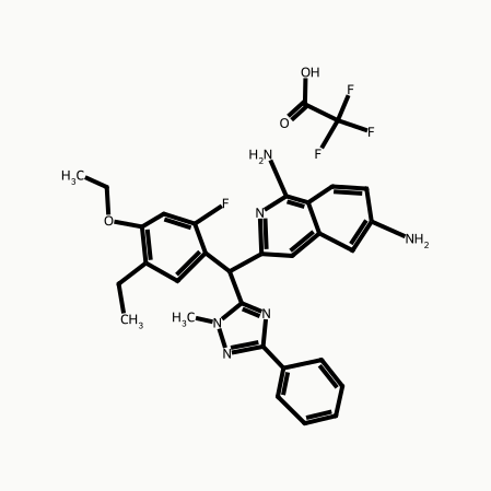 CCOc1cc(F)c(C(c2cc3cc(N)ccc3c(N)n2)c2nc(-c3ccccc3)nn2C)cc1CC.O=C(O)C(F)(F)F